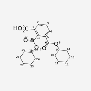 O=C(O)c1cccc(C(=O)OC2CCCCC2)c1C(=O)OC1CCCCC1